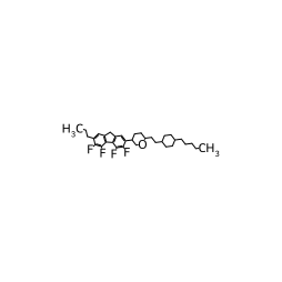 CCCCCC1CCC(CCC2CCC(c3cc4c(c(F)c3F)-c3c(cc(CCC)c(F)c3F)C4)CO2)CC1